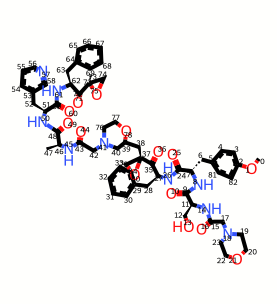 COc1ccc(C[C@H](NC(=O)[C@H](CO)NC(=O)CN2CCOCC2)C(=O)N[C@@H](Cc2ccccc2)C(=O)[C@@]2(CC3CN(CC(=O)N[C@@H](C)C(=O)N[C@@H](Cc4cccnc4)C(=O)N[C@@H](Cc4ccccc4)C(=O)[C@@]4(C)CO4)CCO3)CO2)cc1